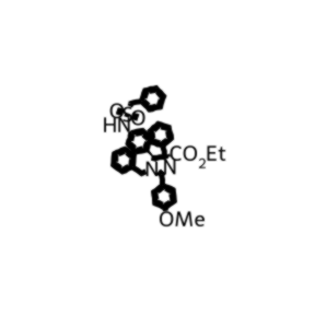 CCOC(=O)[C@@]1(c2ccccc2)N=C(c2ccc(OC)cc2)N(Cc2ccccc2)[C@H]1c1ccc(NS(=O)(=O)Cc2ccccc2)cc1